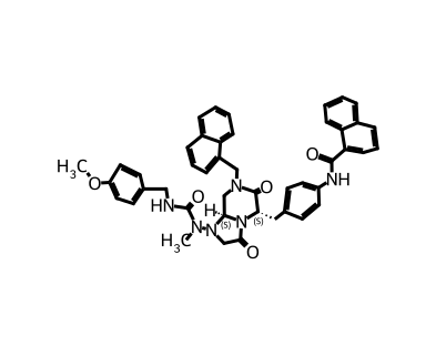 COc1ccc(CNC(=O)N(C)N2CC(=O)N3[C@@H](Cc4ccc(NC(=O)c5cccc6ccccc56)cc4)C(=O)N(Cc4cccc5ccccc45)C[C@@H]32)cc1